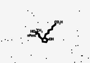 CCCCCC(C)(O)/C=C/C1CC[C@@H](O)C1C/C=C/CCCC(=O)O